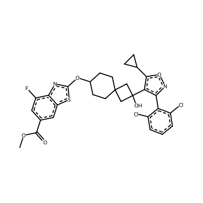 COC(=O)c1cc(F)c2nc(OC3CCC4(CC3)CC(O)(c3c(-c5c(Cl)cccc5Cl)noc3C3CC3)C4)sc2c1